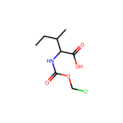 CCC(C)C(NC(=O)OCCl)C(=O)O